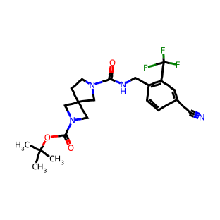 CC(C)(C)OC(=O)N1CC2(CCN(C(=O)NCc3ccc(C#N)cc3C(F)(F)F)C2)C1